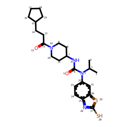 CC(C)N(C(=O)NC1CCN(C(=O)CCC2CCCC2)CC1)c1ccc2nc(S)sc2c1